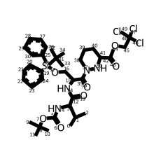 CC(C)C(NC(=O)OC(C)(C)C)C(=O)NC(CO[Si](c1ccccc1)(c1ccccc1)C(C)(C)C)C(=O)N1CCCC(C(=O)OCC(Cl)(Cl)Cl)N1